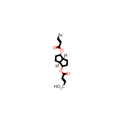 CC(=O)/C=C/C(=O)O[C@H]1CC[C@H]2[C@@H]1CC[C@H]2OC(=O)/C=C/C(=O)O